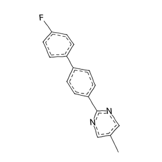 Cc1cnc(-c2ccc(-c3ccc(F)cc3)cc2)nc1